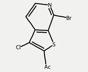 CC(=O)c1sc2c(Br)nccc2c1Cl